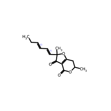 CC/C=C/C=C/C1(C)OC2=C(C(=O)OC(C)C2)C1=O